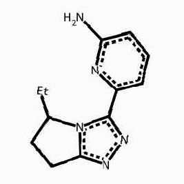 CCC1CCc2nnc(-c3cccc(N)n3)n21